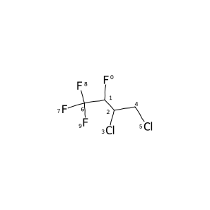 FC(C(Cl)CCl)C(F)(F)F